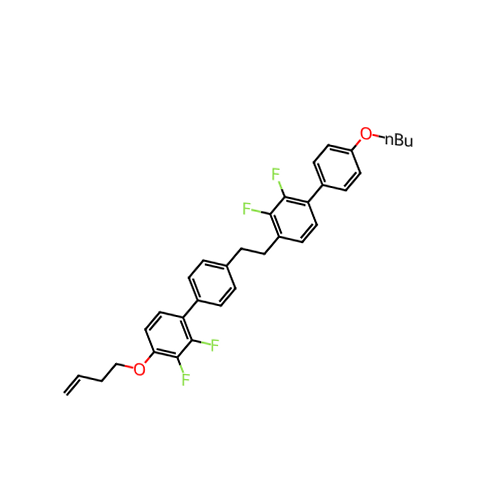 C=CCCOc1ccc(-c2ccc(CCc3ccc(-c4ccc(OCCCC)cc4)c(F)c3F)cc2)c(F)c1F